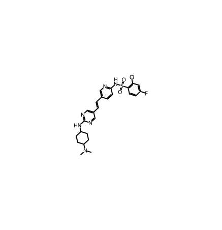 CN(C)C1CCC(Nc2ncc(/C=C/c3ccc(NS(=O)(=O)c4ccc(F)cc4Cl)nc3)cn2)CC1